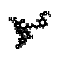 COc1cccc(C=CCC=C(C(Cc2ncc(Cl)s2)=NO)c2c(C)nn(C)c2Cl)c1